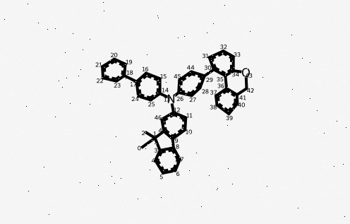 CC1(C)c2ccccc2-c2ccc(N(c3ccc(-c4ccccc4)cc3)c3ccc(-c4cccc5c4-c4ccccc4CO5)cc3)cc21